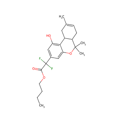 CCCCOC(=O)C(F)(F)c1cc(O)c2c(c1)OC(C)(C)C1CC=C(C)CC21